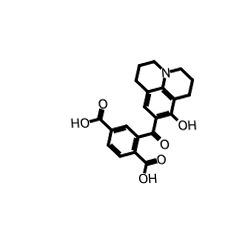 O=C(O)c1ccc(C(=O)O)c(C(=O)c2cc3c4c(c2O)CCCN4CCC3)c1